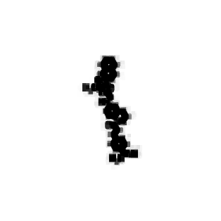 CC(OC(=O)CNc1ccc2c(c1)CCCN2C(=O)CCc1ccc(C(=N)N)cc1)S(=O)(=O)c1ccc2ccccc2c1